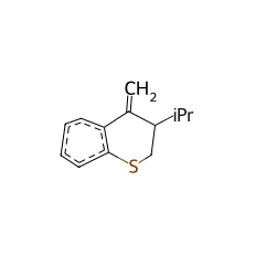 C=C1c2ccccc2SCC1C(C)C